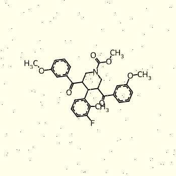 COC(=O)N1CC(C(=O)c2cccc(OC)c2)C(c2cccc(F)c2C)C(C(=O)c2cccc(OC)c2)C1